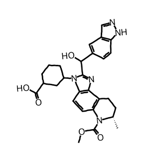 COC(=O)N1c2ccc3c(nc(C(O)c4ccc5[nH]ncc5c4)n3C3CCCC(C(=O)O)C3)c2CC[C@@H]1C